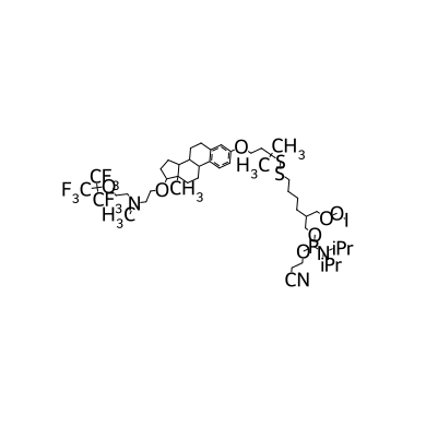 CC(C)N(C(C)C)P(OCCC#N)OCC(CCCCSSC(C)(C)CCOc1ccc2c(c1)CCC1C2CCC2(C)C(OCCN(C)CCOC(C(F)(F)F)(C(F)(F)F)C(F)(F)F)CCC12)COOI